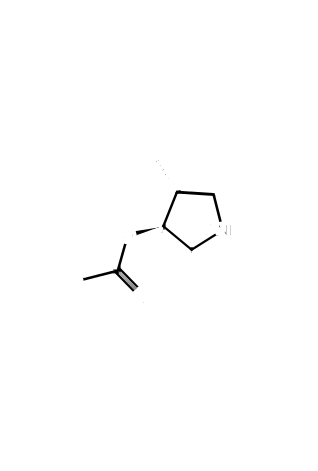 CC(=O)O[C@@H]1CNC[C@H]1C